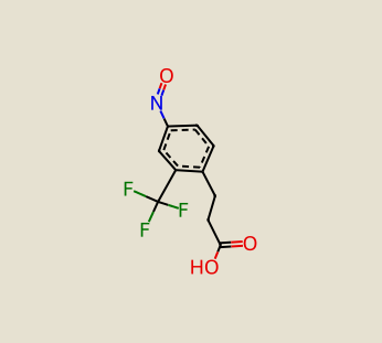 O=Nc1ccc(CCC(=O)O)c(C(F)(F)F)c1